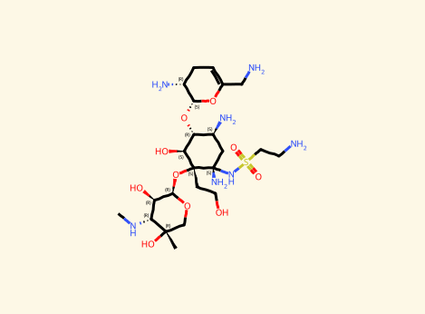 CN[C@@H]1[C@@H](O)[C@@H](O[C@]2(CCO)[C@@H](O)[C@H](O[C@H]3OC(CN)=CC[C@H]3N)[C@@H](N)C[C@]2(N)NS(=O)(=O)CCN)OC[C@]1(C)O